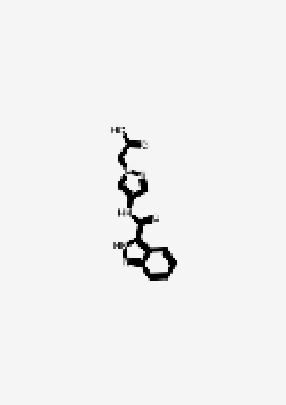 O=C(O)Cn1cc(NC(=O)c2[nH]nc3ccccc23)cn1